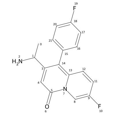 CC(N)c1cc(=O)n2cc(F)ccc2c1-c1ccc(F)cc1